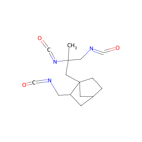 CC(CN=C=O)(CC12CCC(CC1CN=C=O)C2)N=C=O